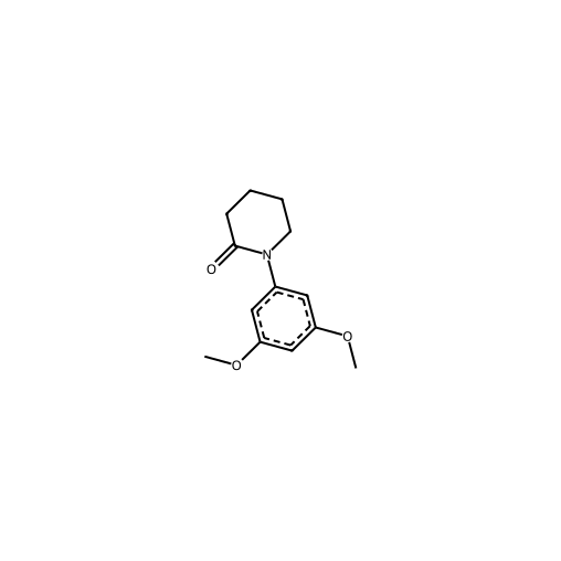 COc1cc(OC)cc(N2CCCCC2=O)c1